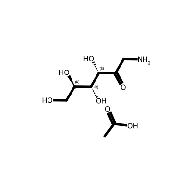 CC(=O)O.NCC(=O)[C@@H](O)[C@H](O)[C@H](O)CO